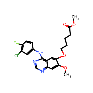 COC(=O)CCCCOc1cc2c(Nc3ccc(F)c(Cl)c3)ncnc2cc1OC